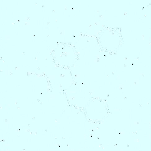 CC(NCc1cc(Oc2cccnc2)ccc1S(=O)O)c1ccccc1